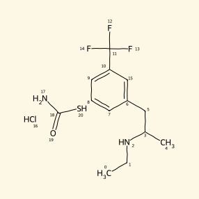 CCNC(C)Cc1cccc(C(F)(F)F)c1.Cl.NC(=O)S